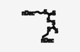 CCCCCCCCCCCCSC(=S)SSC(=S)SCCCCCCCCCCCC